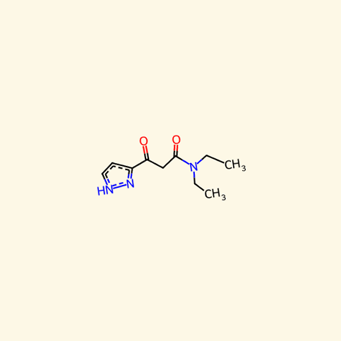 CCN(CC)C(=O)CC(=O)c1cc[nH]n1